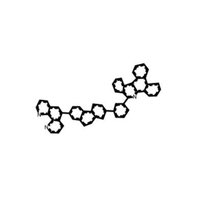 c1cc(-c2ccc3c(ccc4cc(-c5cc6cccnc6c6ncccc56)ccc43)c2)cc(-c2nc3c4ccccc4c4ccccc4c3c3ccccc23)c1